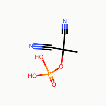 CC(C#N)(C#N)OP(=O)(O)O